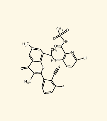 Cc1cc([C@@H](C)Nc2ccc(Cl)nc2C(=O)NS(C)(=O)=O)c2oc(-c3cccc(F)c3C#N)c(C)c(=O)c2c1